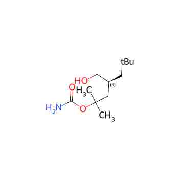 CC(C)(C)C[C@H](CO)CC(C)(C)OC(N)=O